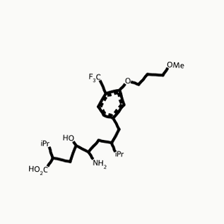 COCCCOc1cc(CC(CC(N)C(O)CC(C(=O)O)C(C)C)C(C)C)ccc1C(F)(F)F